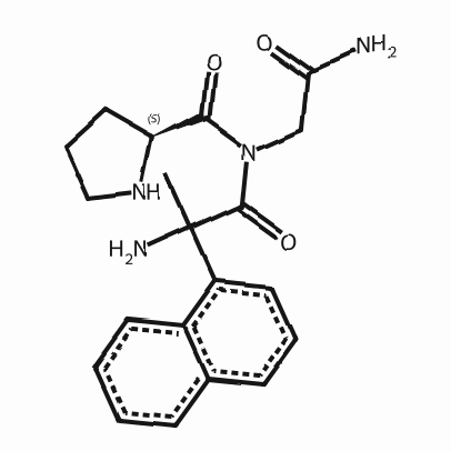 CC(N)(C(=O)N(CC(N)=O)C(=O)[C@@H]1CCCN1)c1cccc2ccccc12